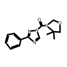 CC1(C)COCN1C(=O)n1cnc(-c2ccccc2)n1